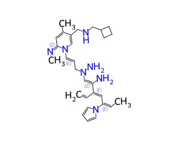 C=CC(=C\C(=C/C)n1cccc1)/C(N)=C/N(N)C/C=C/n1cc(CNCC2CCC2)c(C)c/c1=N/C